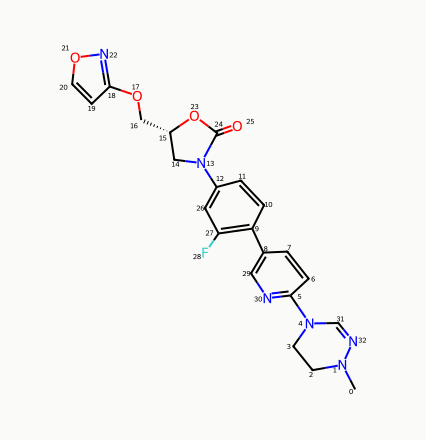 CN1CCN(c2ccc(-c3ccc(N4C[C@H](COc5ccon5)OC4=O)cc3F)cn2)C=N1